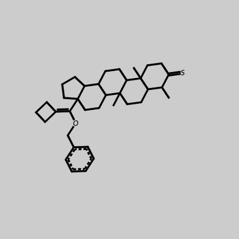 CC1C(=S)CCC2(C)C1CCC1(C)C3CCC4(C(OCc5ccccc5)=C5CCC5)CCCC4C3CCC21